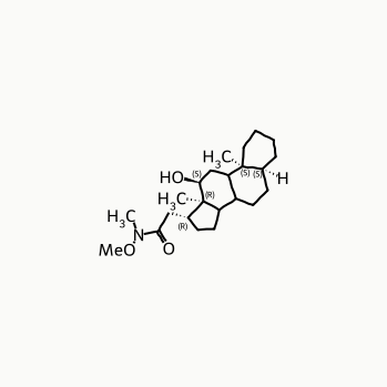 CON(C)C(=O)C[C@H]1CCC2C3CC[C@@H]4CCCC[C@]4(C)C3C[C@H](O)[C@@]21C